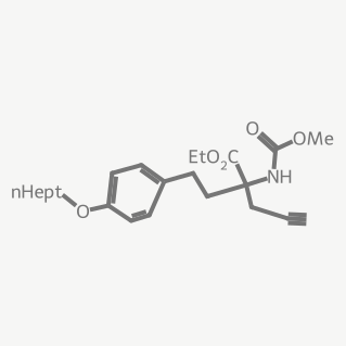 C#CCC(CCc1ccc(OCCCCCCC)cc1)(NC(=O)OC)C(=O)OCC